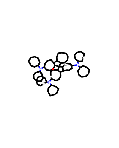 C1CCCC(N(C2CCCCCCC2)C2CCCC3C4CCCCCCCC4C4(C3CCC2)C2CCCC(N(C3CCCCCCCC3)C3CCCCCCC3)CCCC2C2CCCC(N(C3CCCCCCC3)C3CCCCCCC3)CCCC24)CCC1